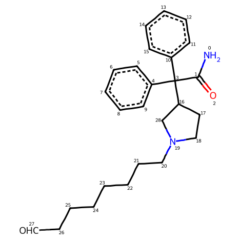 NC(=O)C(c1ccccc1)(c1ccccc1)C1CCN(CCCCCCCC=O)C1